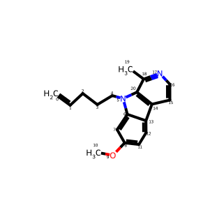 C=CCCCn1c2cc(OC)ccc2c2ccnc(C)c21